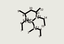 CCN(C)[SiH]1N(CC)C(C)CC(C)N1CC